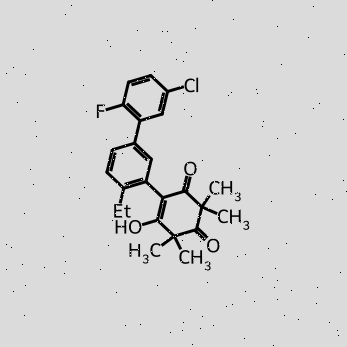 CCc1ccc(-c2cc(Cl)ccc2F)cc1C1=C(O)C(C)(C)C(=O)C(C)(C)C1=O